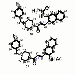 CC(=O)Nc1cc2cccnc2cc1/C=C/C(=O)N1CCN(Cc2ccc(F)cc2)C[C@H]1C.C[C@@H]1CN(Cc2ccc(F)cc2)CCN1C(=O)/C=C/c1cc2cccnc2cc1NC(N)=O